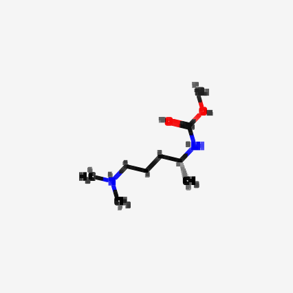 C[C@H](CCCN(C)C)NC(=O)OC(C)(C)C